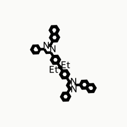 CCC(CC)(c1ccc(C2=NC(c3ccc4ccccc4c3)=NC(C3=CC=C=C=C3)C2)cc1)c1ccc(-c2cc(-c3ccccc3)nc(-c3ccc4ccccc4c3)n2)cc1